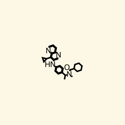 CC(c1ccc(Nc2cnc3cccnc3c2C2CC2)cc1)N(C)C(=O)C1CCCCC1